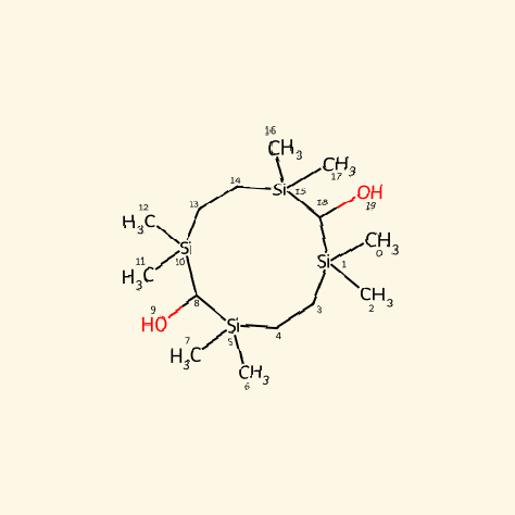 C[Si]1(C)CC[Si](C)(C)C(O)[Si](C)(C)CC[Si](C)(C)C1O